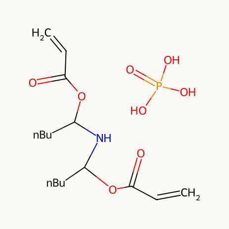 C=CC(=O)OC(CCCC)NC(CCCC)OC(=O)C=C.O=P(O)(O)O